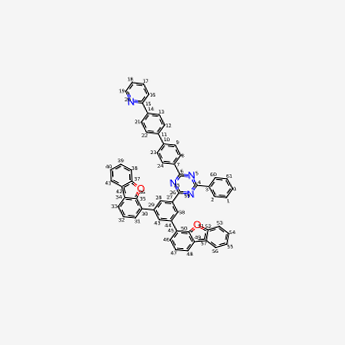 c1ccc(-c2nc(-c3ccc(-c4ccc(-c5ccccn5)cc4)cc3)nc(-c3cc(-c4cccc5c4oc4ccccc45)cc(-c4cccc5c4oc4ccccc45)c3)n2)cc1